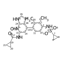 Cc1c(NS(=O)(=O)C2CC2)ccc(-c2cc(NC(=O)C3CC3)[n+]([O-])c3[nH]ccc23)c1C